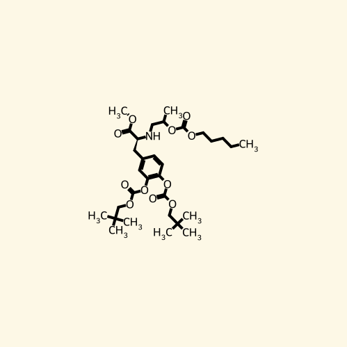 CCCCCOC(=O)OC(C)CN[C@@H](Cc1ccc(OC(=O)OCC(C)(C)C)c(OC(=O)OCC(C)(C)C)c1)C(=O)OC